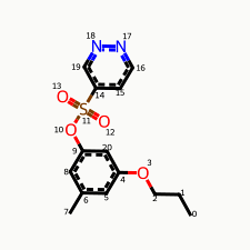 CCCOc1cc(C)cc(OS(=O)(=O)c2ccnnc2)c1